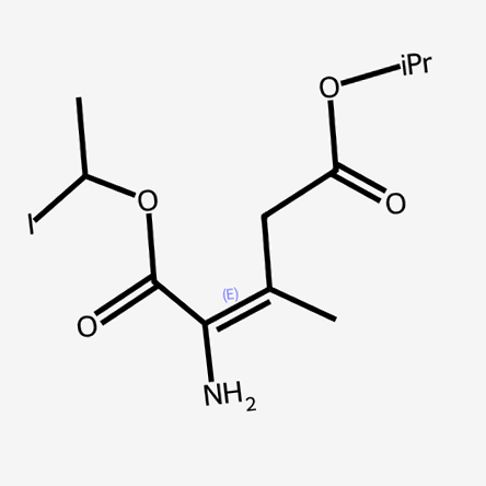 C/C(CC(=O)OC(C)C)=C(\N)C(=O)OC(C)I